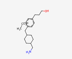 CC(=O)O.NCC1CCC(Cc2ccc(CCCO)cc2)CC1